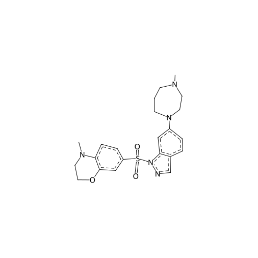 CN1CCCN(c2ccc3cnn(S(=O)(=O)c4ccc5c(c4)OCCN5C)c3c2)CC1